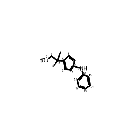 CC(C)(C)CC(C)(C)c1ccc(Nc2ccccc2)cc1